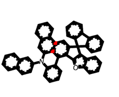 c1ccc(N(c2ccc3ccccc3c2)c2ccc3ccccc3c2)c(-c2cccc3c2-c2oc4ccccc4c2C32c3ccccc3-c3ccccc32)c1